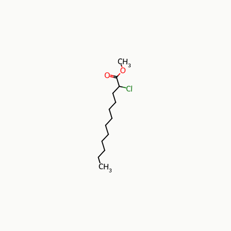 CCCCCCCCCCC(Cl)C(=O)OC